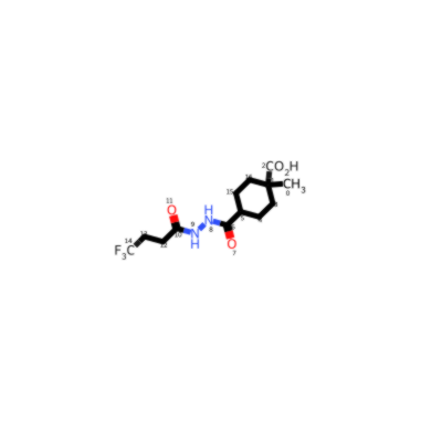 CC1(C(=O)O)CCC(C(=O)NNC(=O)CCC(F)(F)F)CC1